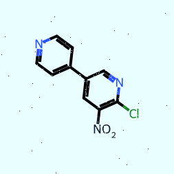 O=[N+]([O-])c1cc(-c2ccncc2)cnc1Cl